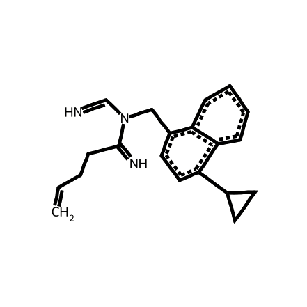 C=CCCC(=N)N(C=N)Cc1ccc(C2CC2)c2ccccc12